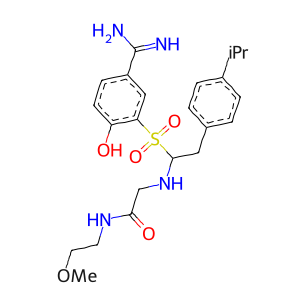 COCCNC(=O)CNC(Cc1ccc(C(C)C)cc1)S(=O)(=O)c1cc(C(=N)N)ccc1O